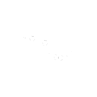 C=C(CC(C)(C)C)c1ccc2nc(CN3CCC(c4cccc(CCc5ccc(C#N)cc5F)n4)CC3)n(CC3CCC3)c2c1